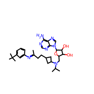 C/C(CCC1CC(N(CC2OC(n3cnc4c(N)ncnc43)C(O)C2O)C(C)C)C1)=N\c1cccc(C(C)(C)C)c1